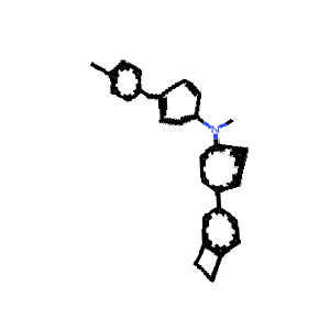 Cc1ccc(C2=CCC(N(C)c3ccc(-c4ccc5c(c4)CC5)cc3)C=C2)cc1